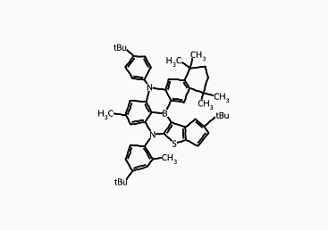 Cc1cc2c3c(c1)N(c1ccc(C(C)(C)C)cc1C)c1sc4ccc(C(C)(C)C)cc4c1B3c1cc3c(cc1N2c1ccc(C(C)(C)C)cc1)C(C)(C)CCC3(C)C